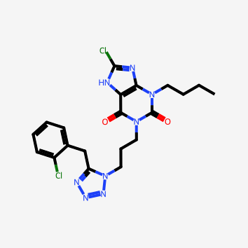 CCCCn1c(=O)n(CCCn2nnnc2Cc2ccccc2Cl)c(=O)c2[nH]c(Cl)nc21